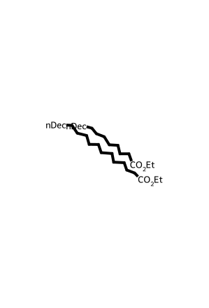 CCCCCCCCCCCCCCCCCC(=O)OCC.CCCCCCCCCCCCCCCCCCCCCC(=O)OCC